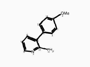 COc1ccc(-c2cccnc2P)cc1